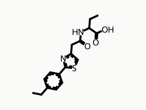 CCc1ccc(-c2nc(CC(=O)NC(CC)C(=O)O)cs2)cc1